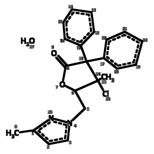 Cc1ccn(CC2OC(=O)C(c3ccccc3)(c3ccccc3)C2(C)Cl)n1.O